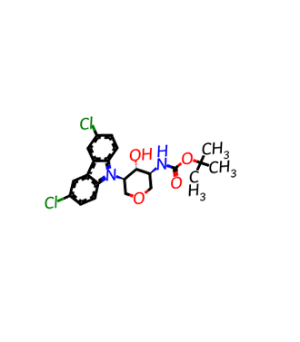 CC(C)(C)OC(=O)N[C@H]1COC[C@@H](n2c3ccc(Cl)cc3c3cc(Cl)ccc32)[C@@H]1O